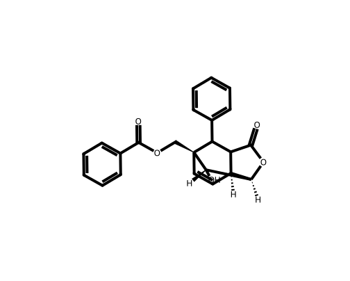 O=C(OC[C@]12C=C[C@H]3C(C(=O)O[C@H]3[C@@H]1O)C2c1ccccc1)c1ccccc1